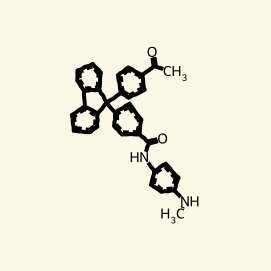 CNc1ccc(NC(=O)c2ccc(C3(c4ccc(C(C)=O)cc4)c4ccccc4-c4ccccc43)cc2)cc1